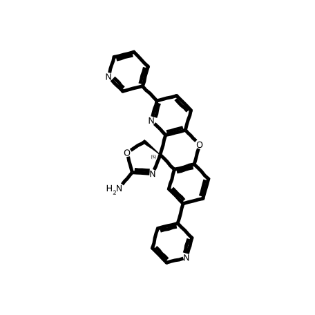 NC1=N[C@@]2(CO1)c1cc(-c3cccnc3)ccc1Oc1ccc(-c3cccnc3)nc12